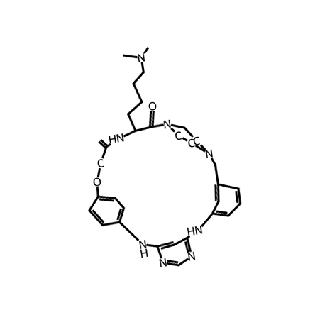 C=C1COc2ccc(cc2)Nc2cc(ncn2)Nc2cccc(c2)CN2CCN(CC2)C(=O)C(CCCCN(C)C)N1